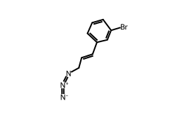 [N-]=[N+]=NC/C=C/c1cccc(Br)c1